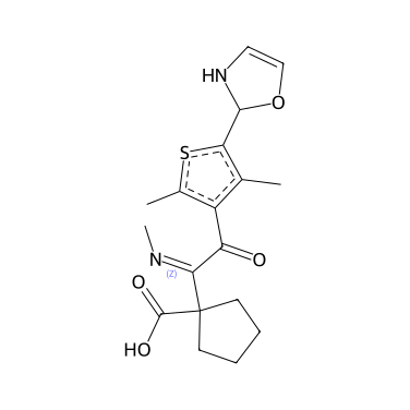 C/N=C(\C(=O)c1c(C)sc(C2NC=CO2)c1C)C1(C(=O)O)CCCC1